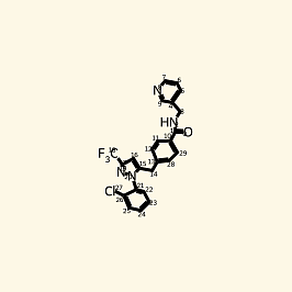 O=C(NCc1cccnc1)c1ccc(Cc2cc(C(F)(F)F)nn2-c2ccccc2Cl)cc1